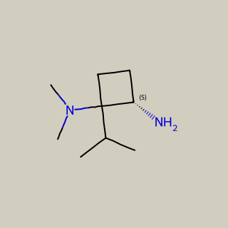 CC(C)C1(N(C)C)CC[C@@H]1N